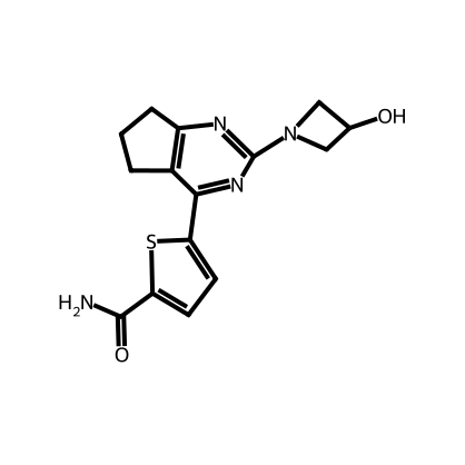 NC(=O)c1ccc(-c2nc(N3CC(O)C3)nc3c2CCC3)s1